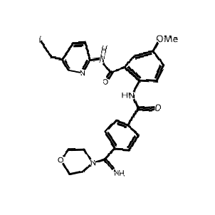 COc1ccc(NC(=O)c2ccc(C(=N)N3CCOCC3)cc2)c(C(=O)Nc2ccc(CI)cn2)c1